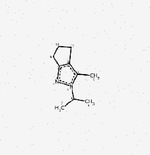 Cc1c2c(nn1C(C)C)CCC2